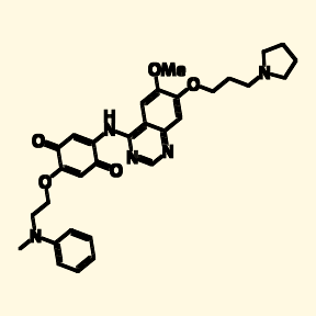 COc1cc2c(NC3=CC(=O)C(OCCN(C)c4ccccc4)=CC3=O)ncnc2cc1OCCCN1CCCC1